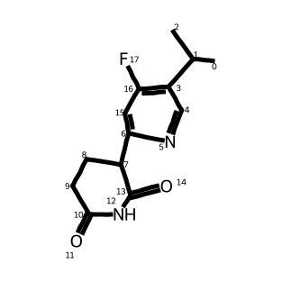 CC(C)c1cnc(C2CCC(=O)NC2=O)cc1F